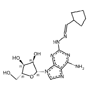 Nc1nc(NN=CC2CCCC2)nc2c1ncn2[C@@H]1O[C@H](CO)[C@@H](O)[C@H]1O